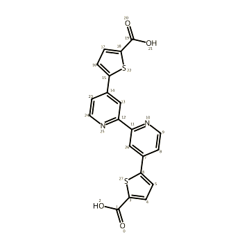 O=C(O)c1ccc(-c2ccnc(-c3cc(-c4ccc(C(=O)O)s4)ccn3)c2)s1